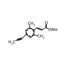 CC#Cc1cc(C)c(/C=C/C(=O)OC)c(C)c1